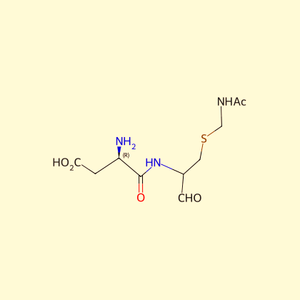 CC(=O)NCSCC(C=O)NC(=O)[C@H](N)CC(=O)O